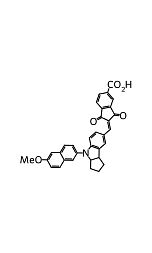 COc1ccc2cc(N3c4ccc(/C=C5\C(=O)c6ccc(C(=O)O)cc6C5=O)cc4C4CCCC43)ccc2c1